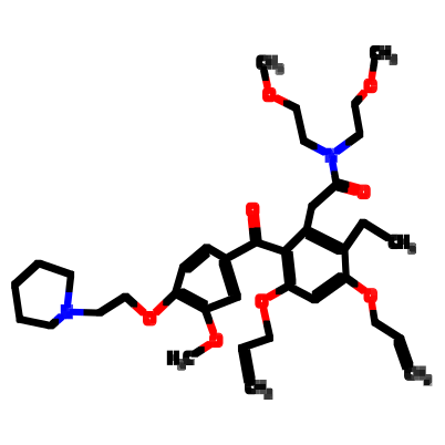 C=CCOc1cc(OCC=C)c(C(=O)c2ccc(OCCN3CCCCC3)c(OC)c2)c(CC(=O)N(CCOC)CCOC)c1CC